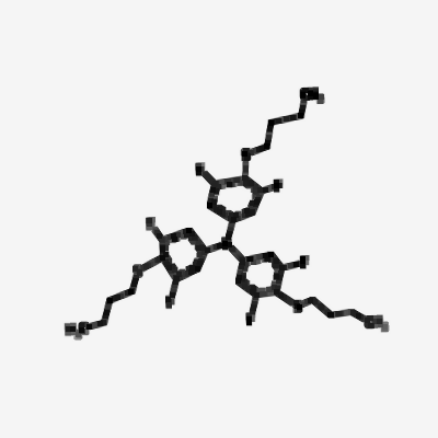 CCCCSc1c(F)cc(B(c2cc(F)c(SCCCC)c(F)c2)c2cc(F)c(SCCCC)c(F)c2)cc1F